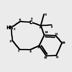 CC1(C)CCNCCCC2=CCCC=C21